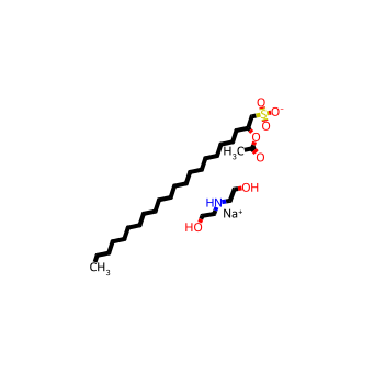 CCCCCCCCCCCCCCCCCCCCC(CS(=O)(=O)[O-])OC(C)=O.OCCNCCO.[Na+]